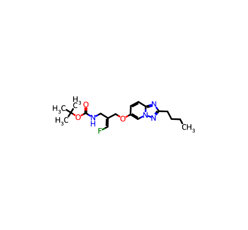 CCCCc1nc2ccc(OCC(=CF)CNC(=O)OC(C)(C)C)cn2n1